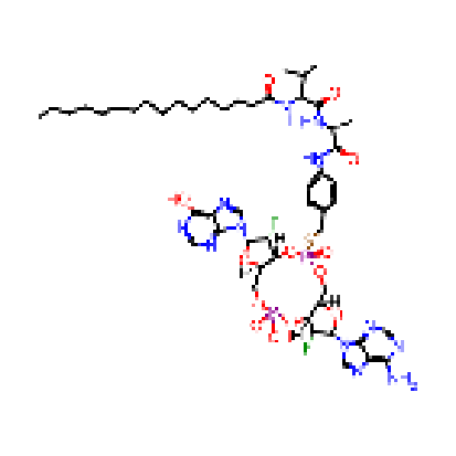 CCCCCCCCCCCCCCCC(=O)N[C@H](C(=O)N[C@@H](C)C(=O)Nc1ccc(CSP2(=O)OC[C@H]3O[C@@H](n4cnc5c(N)ncnc54)[C@H](F)[C@@H]3OP(=O)(O)OC[C@H]3O[C@@H](n4cnc5c(O)ncnc54)[C@H](F)[C@@H]3O2)cc1)C(C)C